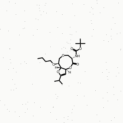 CCCCO[C@H]1COC[C@H](NC(=O)OC(C)(C)C)C(=O)O[C@H]2C=C(C(C)C)O[C@@H]21